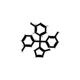 CC1=C(C(c2cccc(C)c2)(c2cccc(C)c2)c2cccc(C)c2)CC=C1